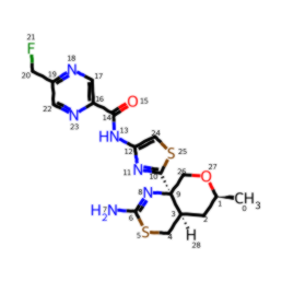 C[C@H]1C[C@H]2CSC(N)=N[C@@]2(c2nc(NC(=O)c3cnc(CF)cn3)cs2)CO1